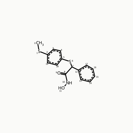 CSc1ccc(SC(C(=O)NO)c2ccccc2)cc1